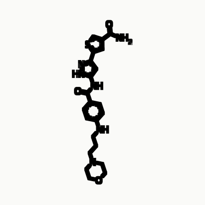 NC(=O)c1csc(-c2cc(NC(=O)c3ccc(NCCCN4CCOCC4)cc3)[nH]n2)c1